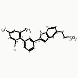 Cc1cc(C)c(-c2cccc(-c3cc4cc(CCC(=O)O)ccc4o3)c2)c(F)c1